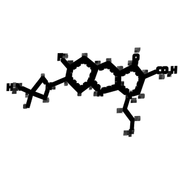 CC1(N)CN(c2cc3nc4c(cc3cc2F)c(=O)c(C(=O)O)cn4CCF)C1